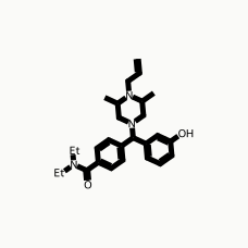 C=CCN1C(C)CN(C(c2ccc(C(=O)N(CC)CC)cc2)c2cccc(O)c2)CC1C